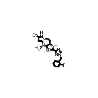 CCC1C=C2N(CCC(NC(=O)c3ncn(Cc4ccccc4F)n3)C(=O)N2C)N1